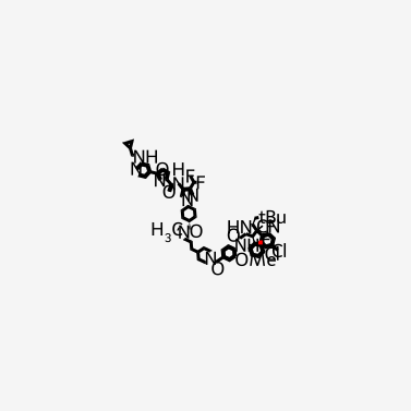 COc1cc(C(=O)N2CCC(CCCN(C)C(=O)[C@H]3CC[C@H](n4cc(NC(=O)c5coc(-c6ccnc(NCC7CC7)c6)n5)c(C(F)F)n4)CC3)CC2)ccc1NC(=O)C1N[C@@H](CC(C)(C)C)[C@](C#N)(c2ccc(Cl)cc2F)[C@H]1c1cccc(Cl)c1F